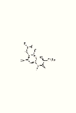 C=C(C(=O)OC)C(C)c1cc(Cl)c(OC(F)F)c(Cl)c1